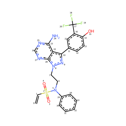 C=CS(=O)(=O)N(CCn1nc(-c2ccc(O)c(C(F)(F)F)c2)c2c(N)ncnc21)c1ccccc1